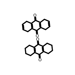 O=C1C2=C(CC=CC2)C(=O)C2=C1CC=CC2.O=C1C2=C(CCCC2)C(=O)C2=C1CCCC2